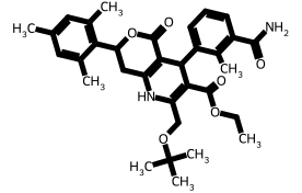 CCOC(=O)C1=C(COC(C)(C)C)NC2=C(C(=O)OC(c3c(C)cc(C)cc3C)C2)C1c1cccc(C(N)=O)c1C